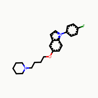 Fc1ccc(-n2ccc3cc(OCCCCN4CCCCC4)ccc32)cc1